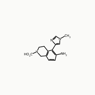 Cn1cnc(-c2c(N)ccc3c2CCN(C(=O)O)C3)c1